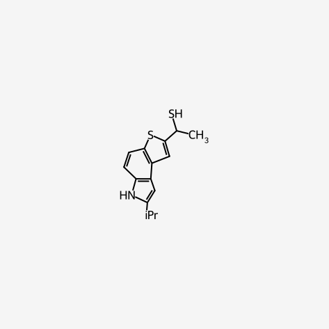 CC(C)c1cc2c(ccc3sc(C(C)S)cc32)[nH]1